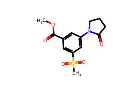 COC(=O)c1cc(N2CCCC2=O)cc(S(C)(=O)=O)c1